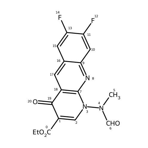 CCOC(=O)c1cn(N(C)C=O)c2nc3cc(F)c(F)cc3cc2c1=O